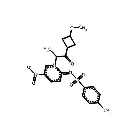 COC1CC(C(=O)C(C)n2cc([N+](=O)[O-])ccc2=NS(=O)(=O)c2ccc(C)cc2)C1